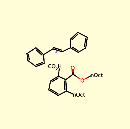 C(=C\c1ccccc1)/c1ccccc1.CCCCCCCCOC(=O)c1c(CCCCCCCC)cccc1C(=O)O